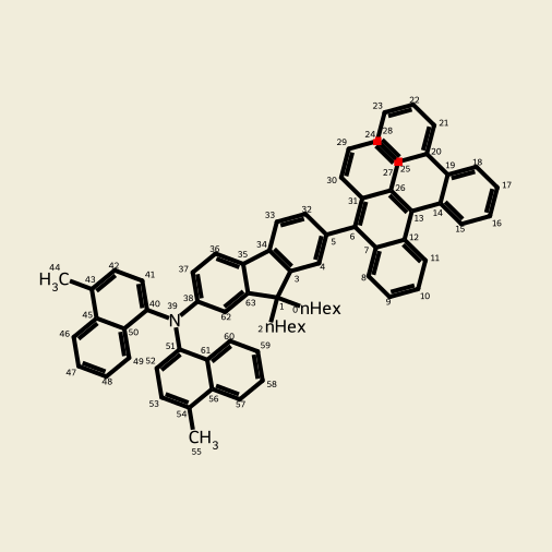 CCCCCCC1(CCCCCC)c2cc(-c3c4ccccc4c(-c4ccccc4-c4ccccc4)c4ccccc34)ccc2-c2ccc(N(c3ccc(C)c4ccccc34)c3ccc(C)c4ccccc34)cc21